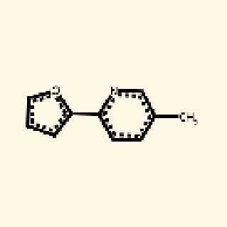 Cc1ccc(-c2ccco2)nc1